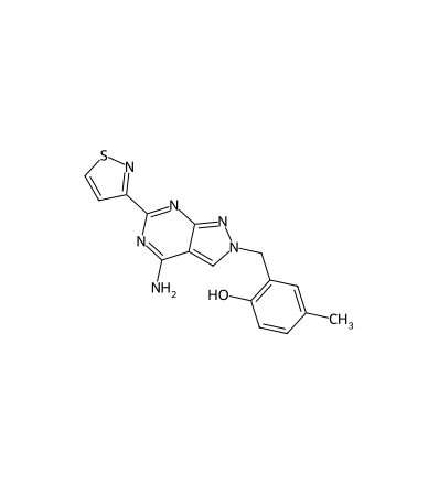 Cc1ccc(O)c(Cn2cc3c(N)nc(-c4ccsn4)nc3n2)c1